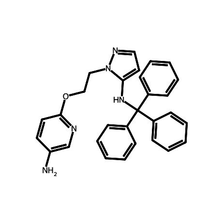 Nc1ccc(OCCn2nccc2NC(c2ccccc2)(c2ccccc2)c2ccccc2)nc1